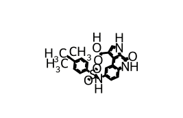 CC(C)(C)c1ccc(S(=O)(=O)Nc2ccc3[nH]c(=O)c4[nH]cc(C(=O)O)c4c3c2)cc1